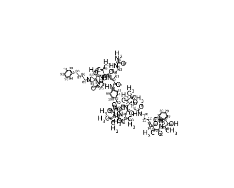 CC[C@H](C)[C@@H]([C@@H](CC(=O)NCCC[C@@H]1C[C@@]1(OC)[C@@H](C)C(=O)N[C@H](C)[C@@H](O)c1ccccc1)OC)N(C)C(=O)[C@@H](NC(=O)[C@H](C(C)C)N(C)C(=O)OCc1ccc(NC(=O)[C@H](CCCNC(N)=O)NC(=O)[C@@H](NC(=O)C2(N3C(=O)C=CC3=O)CN(CCCCc3ccccc3)C2)C(C)C)cc1)C(C)C